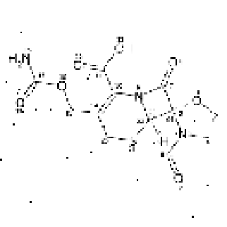 CO[C@@]1(N(C)C=O)C(=O)N2C(C(=O)O)=C(COC(N)=O)CS[C@@H]21